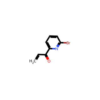 C=CC(=O)c1cccc(Br)n1